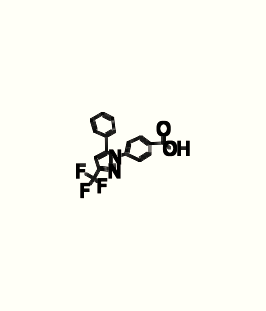 O=C(O)c1ccc(-n2nc(C(F)(F)F)cc2-c2ccccc2)cc1